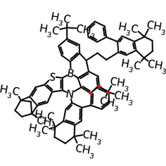 CC(C)(C)c1ccc2c(c1)C(CCc1cc3c(cc1-c1ccccc1)C(C)(C)CCC3(C)C)c1cc(C(C)(C)C)cc3c1B2c1sc2cc4c(cc2c1N3c1cc2c(cc1-c1ccccc1)C(C)(C)CCC2(C)C)C1(C)CCC4(C)C1